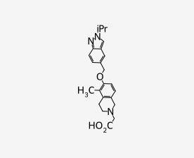 Cc1c(OCc2ccc3nn(C(C)C)cc3c2)ccc2c1CCN(CC(=O)O)C2